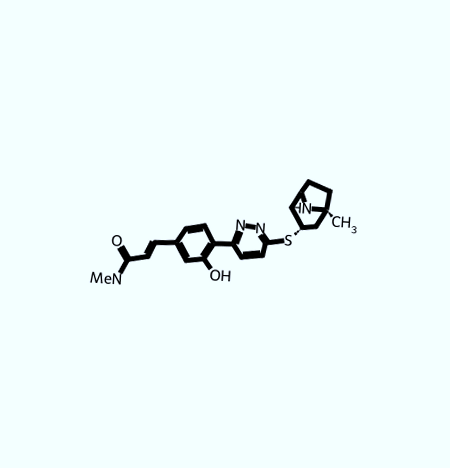 CNC(=O)/C=C/c1ccc(-c2ccc(S[C@@H]3CC4CC[C@@](C)(C3)N4)nn2)c(O)c1